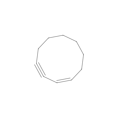 C1#CCCCCCCC=C1